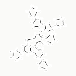 N#Cc1cc(-n2c3ccc(-c4ccccc4)cc3c3cc(-c4ccccc4)ccc32)c2c(sc3ccccc32)c1-n1c2ccc(-c3ccccc3)cc2c2cc(-c3ccccc3)ccc21